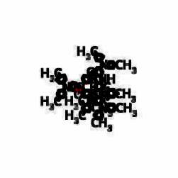 Cc1ccc(N(c2ccc(C)cc2)c2cc3c4c(c2)Oc2ccccc2B4c2cc4c(cc2N3)N(c2c(C)cc(C)cc2C)c2cc(N(c3ccc(C)cc3)c3ccc(C)cc3)cc3c2B4c2cc4c(cc2N3c2c(C)cc(C)cc2C)Oc2cc(N(c3ccc(C)cc3)c3ccc(C)cc3)cc3c2B4c2ccccc2O3)cc1